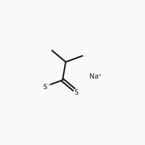 CC(C)C(=S)[S-].[Na+]